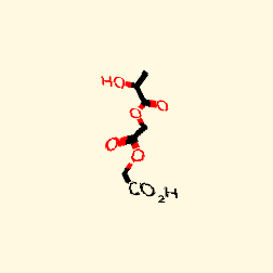 CC(O)C(=O)OCC(=O)OCC(=O)O